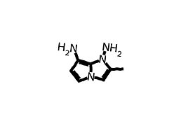 Cc1cn2ccc(N)c2n1N